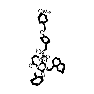 COc1ccc(COc2ccc(CNC(=O)N3CCC(=O)N4[C@@H]3CN(Cc3cccc5ccccc35)C(=O)[C@@H]4Cc3ccccc3)cc2)cc1